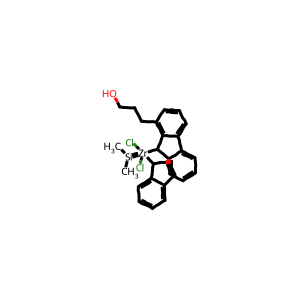 C[Si](C)=[Zr]([Cl])([Cl])([CH]1C=Cc2ccccc21)[CH]1c2ccccc2-c2cccc(CCCO)c21